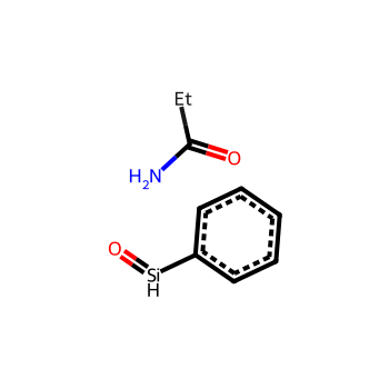 CCC(N)=O.O=[SiH]c1ccccc1